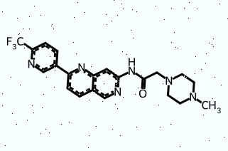 CN1CCN(CC(=O)Nc2cc3nc(-c4ccc(C(F)(F)F)nc4)ccc3cn2)CC1